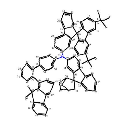 CC(C)(C)c1ccc2c(c1)-c1cc(C(C)(C)C)ccc1C21c2ccccc2-c2ccc(N(c3ccc(-c4ccccc4-c4cccc5c4C(C)(C)c4ccccc4-5)cc3)c3ccc4c(c3)C3(CC5CCC3C5)c3ccccc3-4)cc21